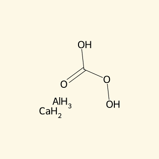 O=C(O)OO.[AlH3].[CaH2]